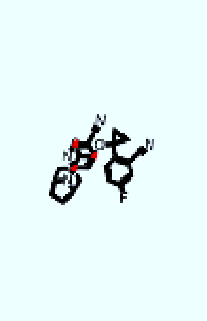 N#Cc1ccc(N2C3CCC2CN(C(=O)COC2(c4ccc(F)cc4C#N)CC2)C3)nc1